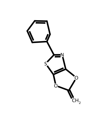 C=C1Oc2nc(-c3ccccc3)sc2O1